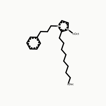 CCCCCCCCCCCCCCCCCCc1n(CCCCCCCC)cc[n+]1CCCc1ccccc1